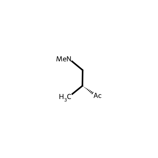 CNC[C@@H](C)C(C)=O